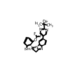 CC(=O)Nc1cccc(OC(F)F)c1[C@H]1CCc2nc3ccc(-c4cnc(C(C)(C)O)nc4)cc3n21